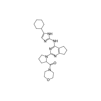 O=C(C1CCCN1c1nc2c(c(Nc3ncc(C4CCCCC4)[nH]3)n1)CCC2)N1CCOCC1